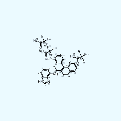 CC(Nc1ncnc2[nH]cnc12)c1ccc2cccnc2c1-c1cncc(F)c1.O=C(O)C(F)(F)F.O=C(O)C(F)(F)F.O=C(O)C(F)(F)F